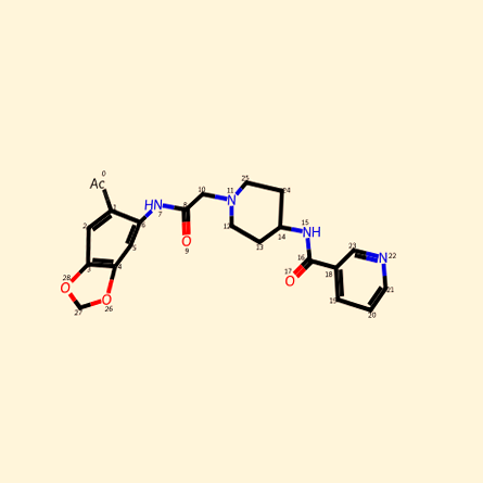 CC(=O)c1cc2c(cc1NC(=O)CN1CCC(NC(=O)c3cccnc3)CC1)OCO2